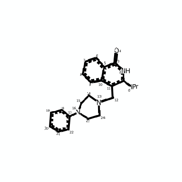 CC(C)c1[nH]c(=O)c2ccccc2c1CN1CCN(c2ccccc2)CC1